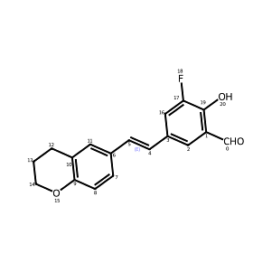 O=Cc1cc(/C=C/c2ccc3c(c2)CCCO3)cc(F)c1O